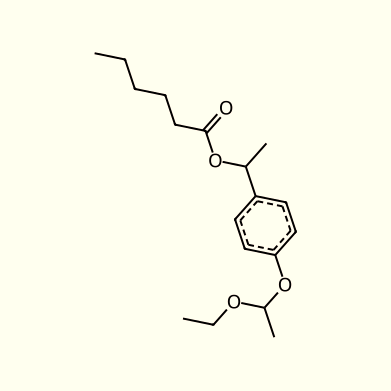 CCCCCC(=O)OC(C)c1ccc(OC(C)OCC)cc1